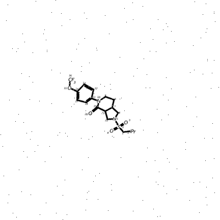 CC(C)CS(=O)(=O)N1CC2CCN(c3ccc(OC(F)(F)F)cc3)C(=O)C2C1